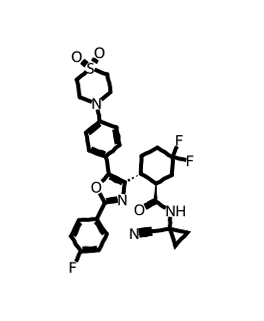 N#CC1(NC(=O)[C@@H]2CC(F)(F)CC[C@H]2c2nc(-c3ccc(F)cc3)oc2-c2ccc(N3CCS(=O)(=O)CC3)cc2)CC1